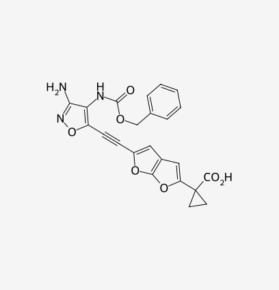 Nc1noc(C#Cc2cc3cc(C4(C(=O)O)CC4)oc3o2)c1NC(=O)OCc1ccccc1